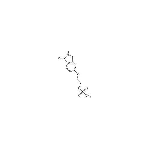 CS(=O)(=O)OCCOc1ccc2c(c1)CNC2=O